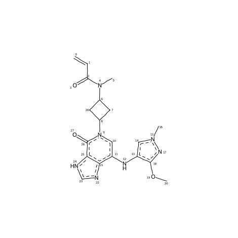 C=CC(=O)N(C)C1CC(n2cc(Nc3cn(C)nc3OC)c3nc[nH]c3c2=O)C1